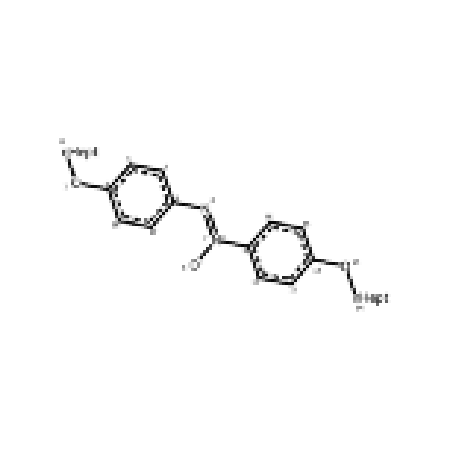 CCCCCCCOc1ccc(N=[N+]([O-])c2ccc(OCCCCCCC)cc2)cc1